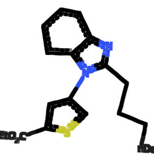 CCCCCCCCCCCCCc1nc2ccccc2n1-c1csc(C(=O)OCC)c1